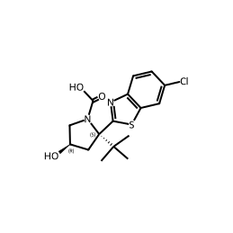 CC(C)(C)[C@]1(c2nc3ccc(Cl)cc3s2)C[C@@H](O)CN1C(=O)O